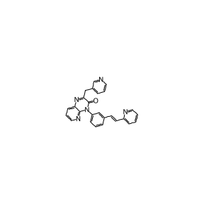 O=c1c(Cc2cccnc2)nc2cccnc2n1-c1cccc(/C=C/c2ccccn2)c1